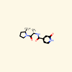 C[C@H](NC(=O)c1cc[nH]c(=O)c1)C(=O)N1CCC[C@H]1C(=O)O